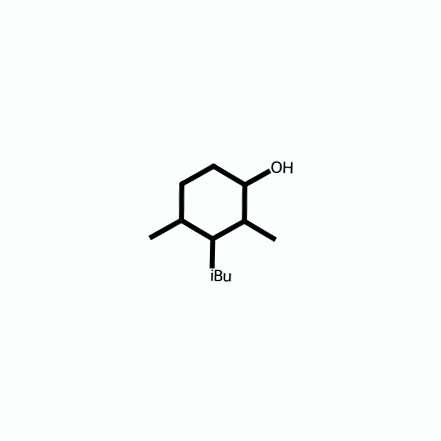 CCC(C)C1C(C)CCC(O)C1C